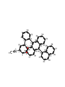 [C-]#[N+]c1cccc(-c2ccccc2-c2c3ccccc3c(-c3cccc4ccccc34)c3ccccc23)c1